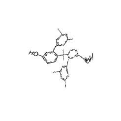 Cc1cc(C)cc(-c2cc(O)ccc2C(C)(C)c2ccc(O)cc2-c2cc(C)cc(C)c2)c1